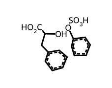 O=C(O)C(O)Cc1ccccc1.O=S(=O)(O)Oc1ccccc1